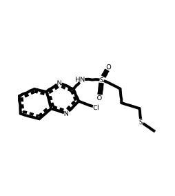 CSCCCS(=O)(=O)Nc1nc2ccccc2nc1Cl